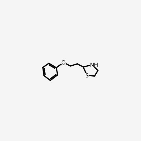 c1ccc(OCCC2NCCS2)cc1